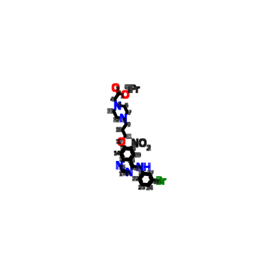 CC(C)OC(=O)CN1CCN(CCCOc2cc3ncnc(Nc4cccc(Br)c4)c3cc2[N+](=O)[O-])CC1